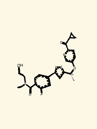 C[C@@H](Oc1ccc(C(=O)C2CC2)nc1)c1cc(-c2ccc(C(=O)N(C)CCO)c(F)c2)ns1